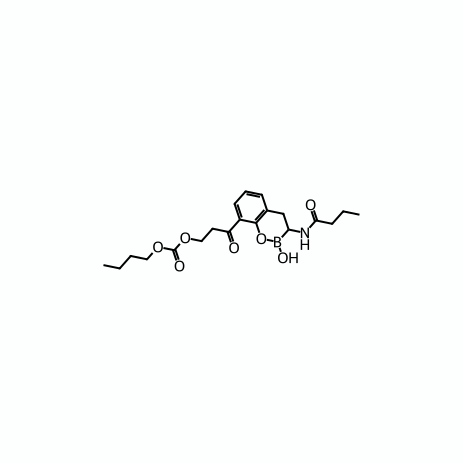 CCCCOC(=O)OCCC(=O)c1cccc2c1OB(O)C(NC(=O)CCC)C2